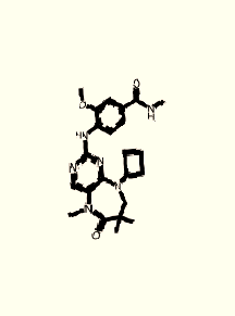 CNC(=O)c1ccc(Nc2ncc3c(n2)N(C2CCC2)CC(C)(C)C(=O)N3C)c(OC)c1